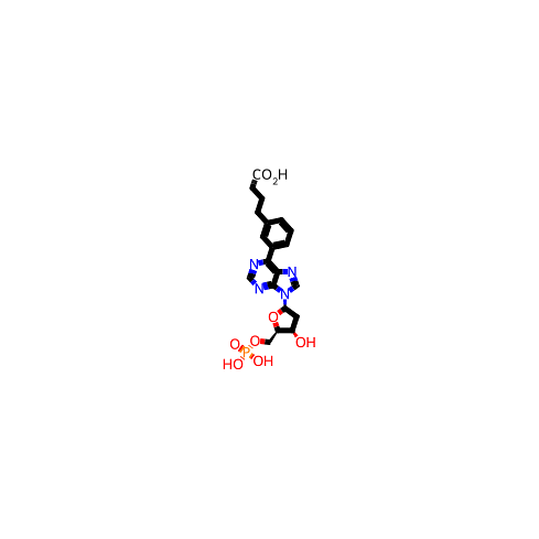 O=C(O)CCCc1cccc(-c2ncnc3c2ncn3[C@H]2C[C@@H](O)[C@@H](COP(=O)(O)O)O2)c1